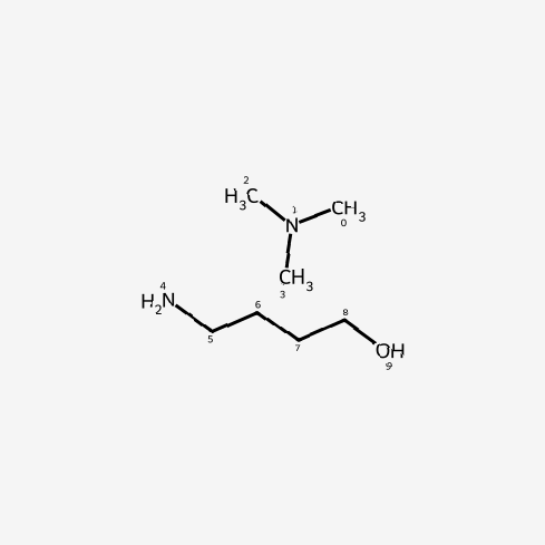 CN(C)C.NCCCCO